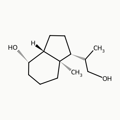 CC(CO)[C@H]1CC[C@H]2[C@@H](O)CCC[C@]12C